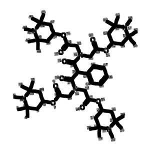 CN1C(C)(C)CC(OC(=O)CN(CC(=O)OC2CC(C)(C)N(C)C(C)(C)C2)C(=O)C(C(=O)N(CC(=O)OC2CC(C)(C)N(C)C(C)(C)C2)CC(=O)OC2CC(C)(C)N(C)C(C)(C)C2)c2ccccc2)CC1(C)C